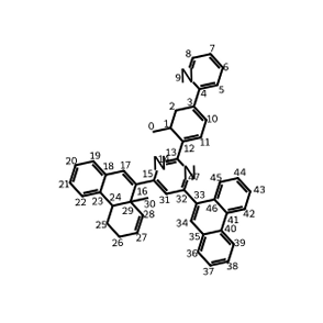 CC1CC(c2ccccn2)=CC=C1c1nc(C2=Cc3ccccc3C3CCC=CC23C)cc(-c2cc3ccccc3c3ccccc23)n1